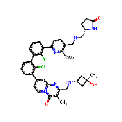 COc1nc(-c2cccc(-c3cccc(-c4ccn5c(=O)c(C)c(CN[C@H]6C[C@](C)(O)C6)nc5c4)c3Cl)c2Cl)ccc1CNC[C@@H]1CCC(=O)N1